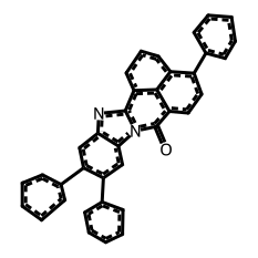 O=c1c2ccc(-c3ccccc3)c3cccc(c32)c2nc3cc(-c4ccccc4)c(-c4ccccc4)cc3n12